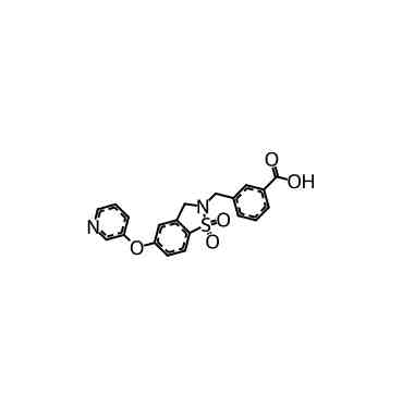 O=C(O)c1cccc(CN2Cc3cc(Oc4cccnc4)ccc3S2(=O)=O)c1